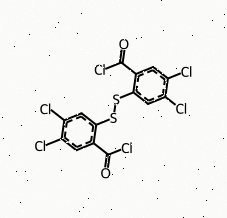 O=C(Cl)c1cc(Cl)c(Cl)cc1SSc1cc(Cl)c(Cl)cc1C(=O)Cl